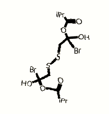 CC(C)C(=O)OC(O)(Br)CSSCC(O)(Br)OC(=O)C(C)C